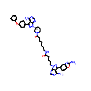 Nc1nc2cc(-c3nn(CCCCC(=O)NCCCC/C=C/C(=O)N4CCC[C@@H](n5nc(-c6ccc(Oc7ccccc7)cc6)c6c(N)ncnc65)C4)c4ncnc(N)c34)ccc2o1